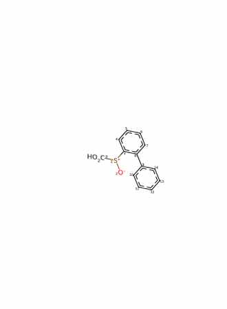 O=C(O)[S+]([O-])c1ccccc1-c1ccccc1